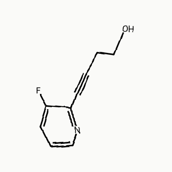 OCCC#Cc1ncccc1F